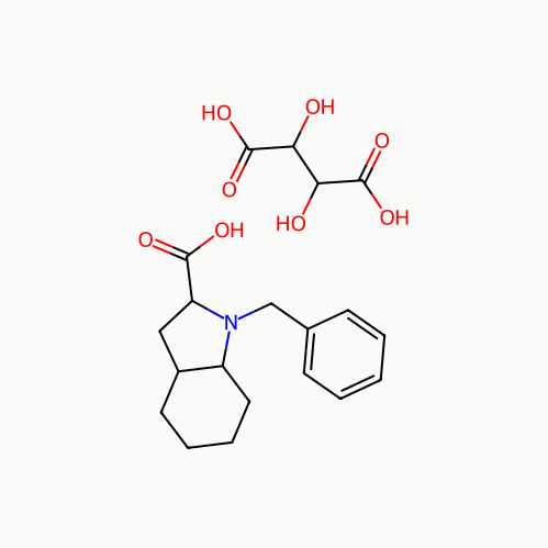 O=C(O)C(O)C(O)C(=O)O.O=C(O)C1CC2CCCCC2N1Cc1ccccc1